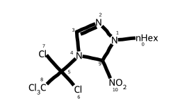 CCCCCCN1N=CN(C(Cl)(Cl)C(Cl)(Cl)Cl)C1[N+](=O)[O-]